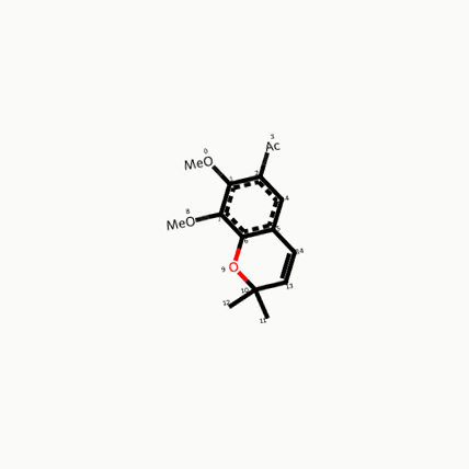 COc1c(C(C)=O)cc2c(c1OC)OC(C)(C)C=C2